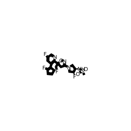 CS(=O)(=O)N[C@@H]1CN(C2=NOC(CF)(c3ncc(F)cc3C3=C(F)C=CC3)C2)C[C@@H]1F